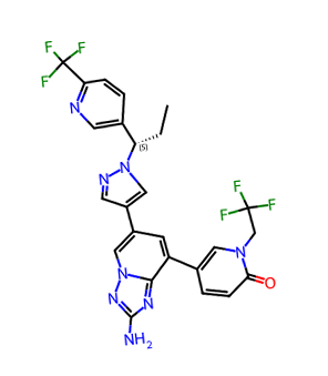 CC[C@@H](c1ccc(C(F)(F)F)nc1)n1cc(-c2cc(-c3ccc(=O)n(CC(F)(F)F)c3)c3nc(N)nn3c2)cn1